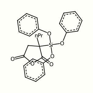 CCCC1([Si](Oc2ccccc2)(Oc2ccccc2)Oc2ccccc2)CC(=O)OC1=O